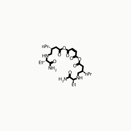 CCC[C@@H](CN[C@@H](CC)C(N)=O)CC(=O)OC(=O)/C=C\C(=O)OC(=O)C[C@@H](CCC)CN[C@@H](CC)C(N)=O